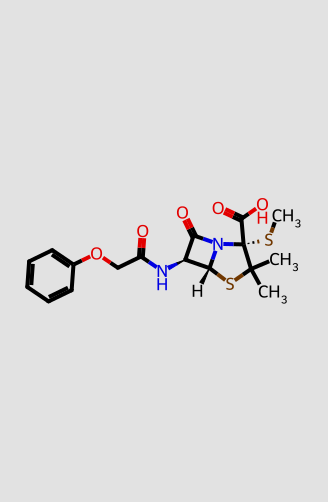 CS[C@@]1(C(=O)O)N2C(=O)[C@H](NC(=O)COc3ccccc3)[C@H]2SC1(C)C